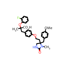 COc1ccc(CC2(CCOc3ccc(CC(C)(Oc4ccccc4F)C(=O)O)cc3)CNC(=O)N2C)cc1